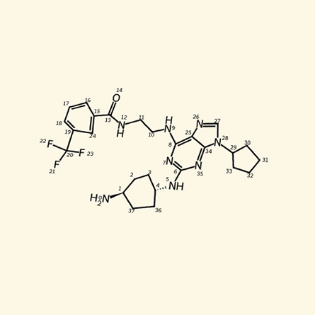 N[C@H]1CC[C@H](Nc2nc(NCCNC(=O)c3cccc(C(F)(F)F)c3)c3ncn(C4CCCC4)c3n2)CC1